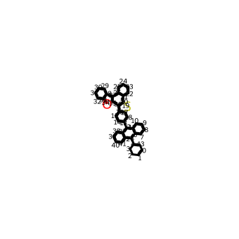 C1=CCCC(c2c3ccccc3c(-c3ccc4c(c3)sc3c5ccccc5c5c6ccccc6oc5c43)c3ccccc23)=C1